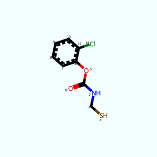 O=C(NCS)Oc1ccccc1Cl